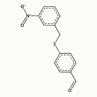 O=Cc1ccc(SCc2cccc([N+](=O)[O-])c2)cc1